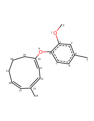 COc1cc(C)ccc1O/C1=C/C=C(C)\C=C/CCC1